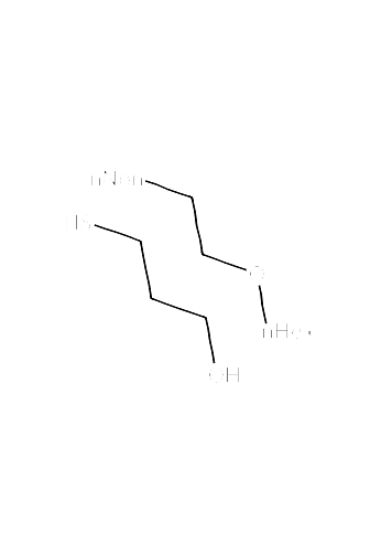 CCCCCCCCCCCOCCCCCC.OCCCS